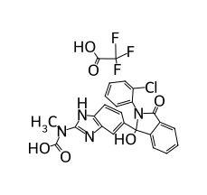 CN(C(=O)O)c1nc2cc(C3(O)c4ccccc4C(=O)N3c3ccccc3Cl)ccc2[nH]1.O=C(O)C(F)(F)F